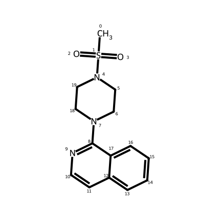 CS(=O)(=O)N1CCN(c2nccc3ccccc23)CC1